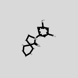 O=C1N(c2cc(F)cc(F)c2)CCC12CCCCC2